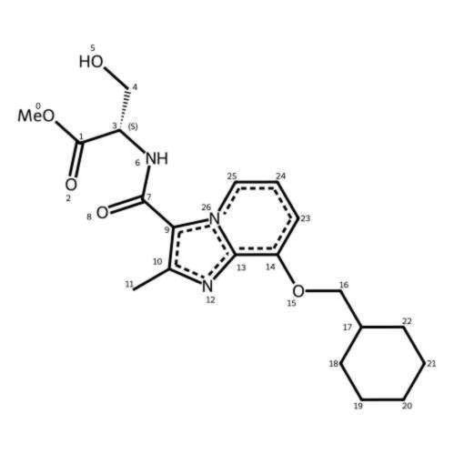 COC(=O)[C@H](CO)NC(=O)c1c(C)nc2c(OCC3CCCCC3)cccn12